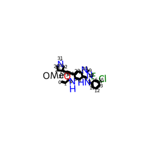 C=CC(=O)Nc1cc2c(Nc3cccc(Cl)c3F)ncnc2cc1C#CC1(OC)CCN(C)C1